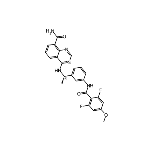 COc1cc(F)c(C(=O)Nc2cccc([C@@H](C)Nc3ncnc4c(C(N)=O)cccc34)c2)c(F)c1